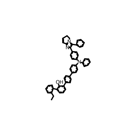 CCc1ccccc1-c1cccc(-c2ccc(-c3ccc(N(c4ccccc4)c4ccc(-c5nc6n(c5-c5ccccc5)CCC=C6)cc4)cc3)cc2)c1O